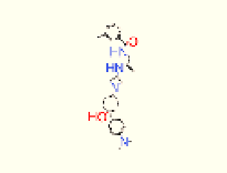 C=C(CNC(=O)c1cccc(C)c1)NC1CN(C2CCC(O)(c3ccc(N(C)C)cc3)CC2)C1